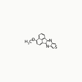 COc1ccc2c3c(cccc13)-c1nc3cscc3nc1-2